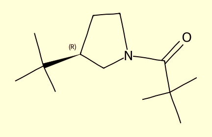 CC(C)(C)C(=O)N1CC[C@H](C(C)(C)C)C1